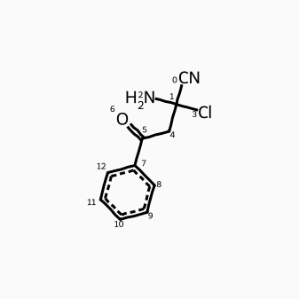 N#CC(N)(Cl)CC(=O)c1ccccc1